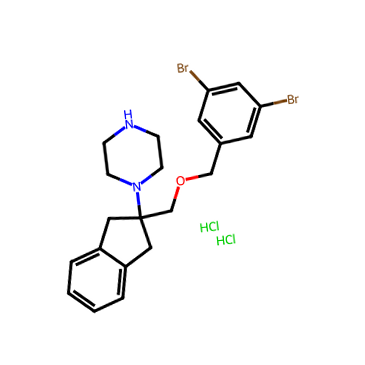 Brc1cc(Br)cc(COCC2(N3CCNCC3)Cc3ccccc3C2)c1.Cl.Cl